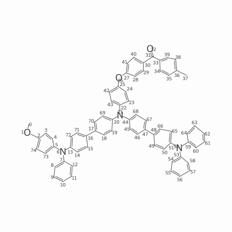 COc1ccc(N(c2ccccc2)c2ccc(-c3ccc(N(c4ccc(Oc5ccc(C(=O)c6ccc(C)cc6)cc5)cc4)c4ccc(-c5ccc(N(c6ccccc6)c6ccccc6)cc5)cc4)cc3)cc2)cc1